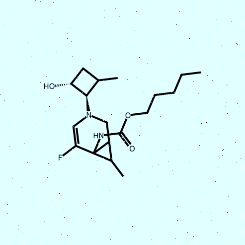 CCCCCOC(=O)NC12C(F)=CN([C@@H]3C(C)C[C@H]3O)CC1C2C